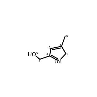 CC1=CC(CO)=NC1